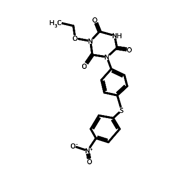 CCOn1c(=O)[nH]c(=O)n(-c2ccc(Sc3ccc([N+](=O)[O-])cc3)cc2)c1=O